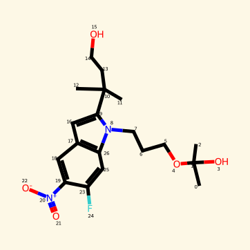 CC(C)(O)OCCCn1c(C(C)(C)CCO)cc2cc([N+](=O)[O-])c(F)cc21